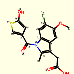 COc1cc2c(CC(=O)O)c(C)n(C(=O)c3csc(O)c3)c2cc1Cl